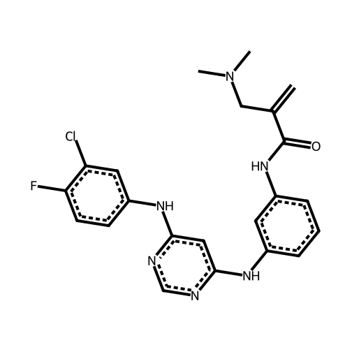 C=C(CN(C)C)C(=O)Nc1cccc(Nc2cc(Nc3ccc(F)c(Cl)c3)ncn2)c1